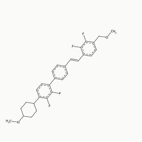 COCc1ccc(/C=C/c2ccc(-c3ccc(C4CCC(OC)CC4)c(F)c3F)cc2)c(F)c1F